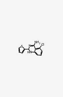 NC1=NC(c2cccs2)Nc2cccc(Cl)c21